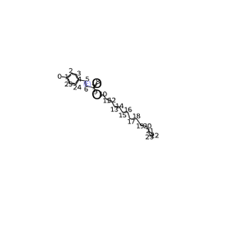 Cc1ccc(/C=C/C(=O)OCCCCCCCCCCCC2CC2)cc1